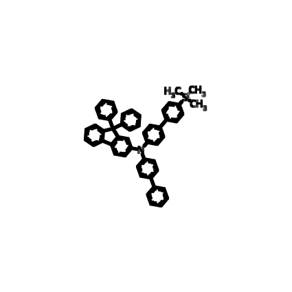 C[Si](C)(C)c1ccc(-c2ccc(N(c3ccc(-c4ccccc4)cc3)c3ccc4c(c3)C(c3ccccc3)(c3ccccc3)c3ccccc3-4)cc2)cc1